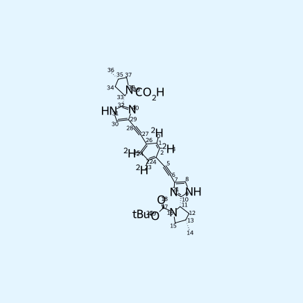 [2H]c1c([2H])c(C#Cc2c[nH]c([C@@H]3C[C@H](C)CN3C(=O)OC(C)(C)C)n2)c([2H])c([2H])c1C#Cc1c[nH]c([C@@H]2C[C@H](C)CN2C(=O)O)n1